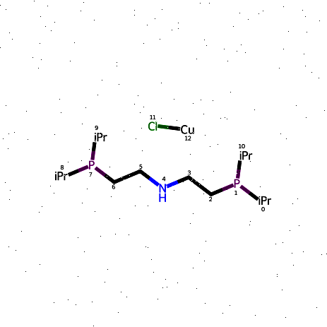 CC(C)P(CCNCCP(C(C)C)C(C)C)C(C)C.[Cl][Cu]